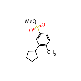 COS(=O)(=O)c1ccc(C)c(C2CCCC2)c1